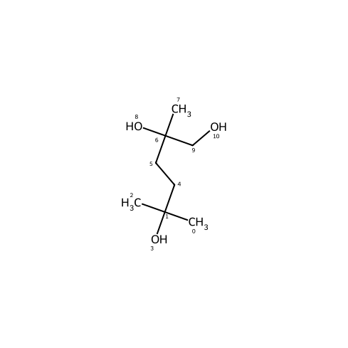 CC(C)(O)CCC(C)(O)CO